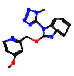 COc1ccnc(COc2nc3ccccc3n2-c2nnnn2C)c1